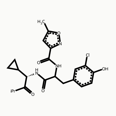 Cc1cc(C(=O)NC(Cc2ccc(O)c(Cl)c2)C(=O)N[C@H](C(=O)C(C)C)C2CC2)no1